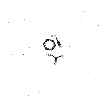 CC#N.CC(=O)Br.c1ccccc1